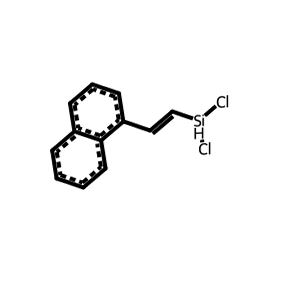 Cl[SiH](Cl)C=Cc1cccc2ccccc12